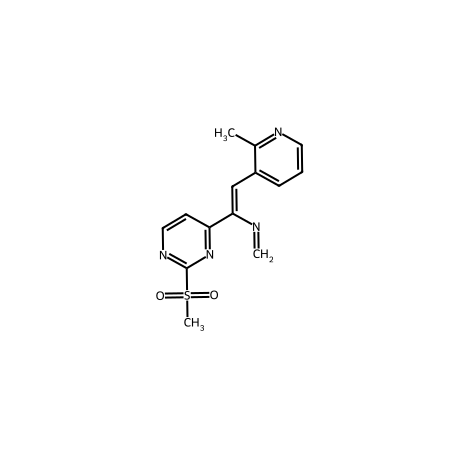 C=N/C(=C\c1cccnc1C)c1ccnc(S(C)(=O)=O)n1